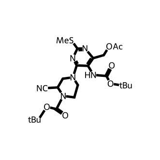 CSc1nc(COC(C)=O)c(NC(=O)OC(C)(C)C)c(N2CCN(C(=O)OC(C)(C)C)C(C#N)C2)n1